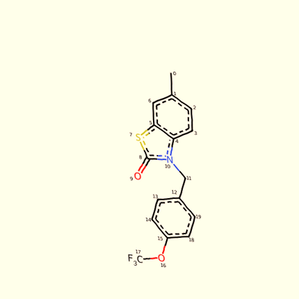 Cc1ccc2c(c1)sc(=O)n2Cc1ccc(OC(F)(F)F)cc1